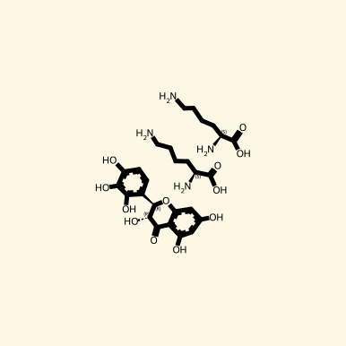 NCCCC[C@H](N)C(=O)O.NCCCC[C@H](N)C(=O)O.O=C1c2c(O)cc(O)cc2O[C@H](c2ccc(O)c(O)c2O)[C@H]1O